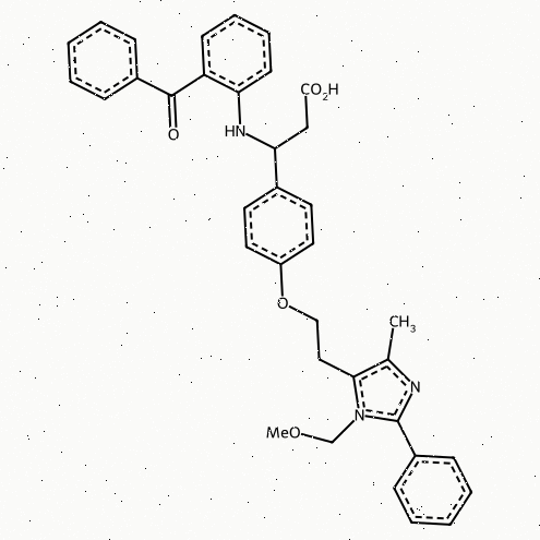 COCn1c(-c2ccccc2)nc(C)c1CCOc1ccc(C(CC(=O)O)Nc2ccccc2C(=O)c2ccccc2)cc1